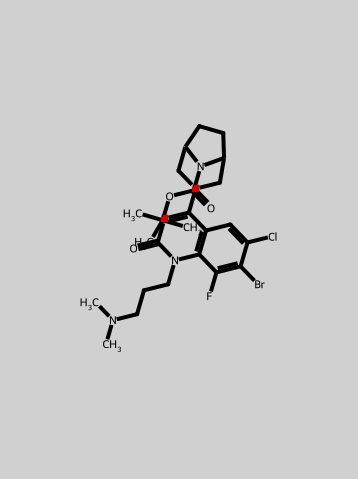 CN(C)CCCn1c(=O)nc(N2CC3CCC(C2)N3C(=O)OC(C)(C)C)c2cc(Cl)c(Br)c(F)c21